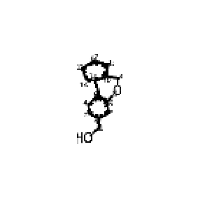 OCc1ccc2c(c1)OCc1ccccc1-2